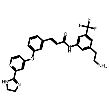 NCCc1cc(NC(=O)/C=C/c2cccc(Oc3ccnc(C4=NCCN4)c3)c2)cc(C(F)(F)F)c1